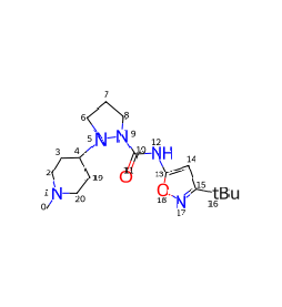 CN1CCC(N2CCCN2C(=O)Nc2cc(C(C)(C)C)no2)CC1